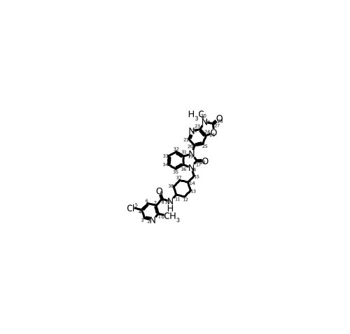 Cc1ncc(Cl)cc1C(=O)NC1CCC(Cn2c(=O)n(-c3cnc4c(c3)oc(=O)n4C)c3ccccc32)CC1